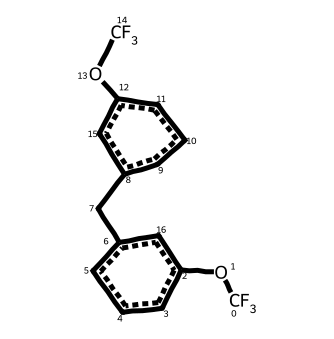 FC(F)(F)Oc1cccc(Cc2cccc(OC(F)(F)F)c2)c1